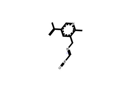 C=C(C)c1cnc(C)c(C/N=C/B=O)c1